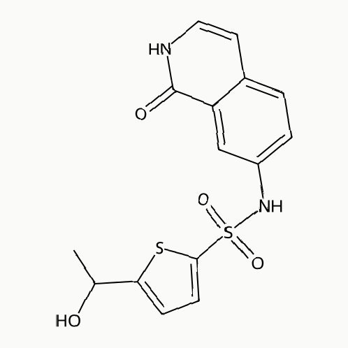 CC(O)c1ccc(S(=O)(=O)Nc2ccc3cc[nH]c(=O)c3c2)s1